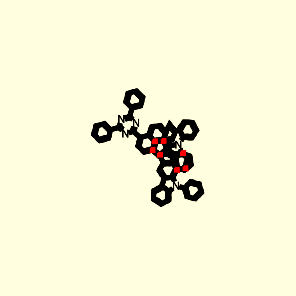 c1ccc(-c2nc(-c3ccccc3)nc(-c3ccc4c5c(cccc35)C35c6cccc7c6c(cc6c8ccccc8n(-c8ccccc8)c76)C43c3cc4c6ccccc6n(-c6ccccc6)c4c4cccc5c34)n2)cc1